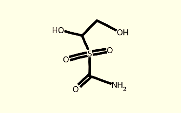 NC(=O)S(=O)(=O)[C](O)CO